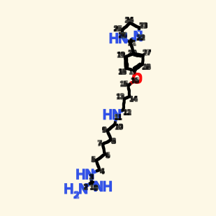 N=C(N)NCCCCCCCNCCCCOc1ccc(C2=NCCCN2)cc1